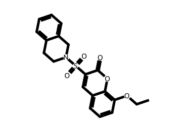 CCOc1cccc2cc(S(=O)(=O)N3CCc4ccccc4C3)c(=O)oc12